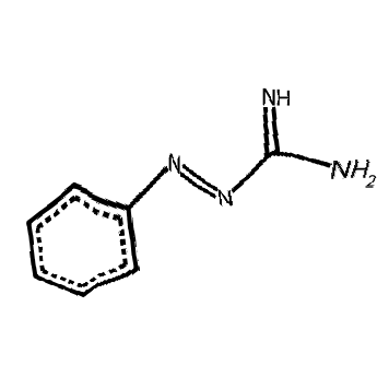 N=C(N)N=Nc1ccccc1